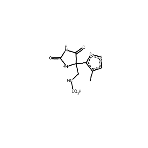 Cc1cnoc1C1(CNC(=O)O)NC(=O)NC1=O